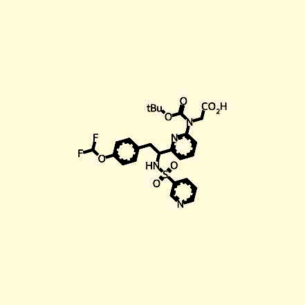 CC(C)(C)OC(=O)N(CC(=O)O)c1cccc(C(Cc2ccc(OC(F)F)cc2)NS(=O)(=O)c2cccnc2)n1